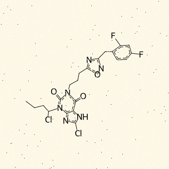 CCCC(Cl)n1c(=O)n(CCCc2nc(Cc3ccc(F)cc3F)no2)c(=O)c2[nH]c(Cl)nc21